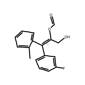 Cc1ccccc1/C(=C(/CO)OC=O)c1cccc(F)c1